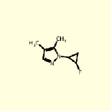 Cc1cnn(C2CC2F)c1C